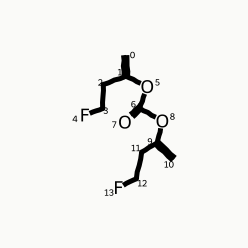 C=C(CCF)OC(=O)OC(=C)CCF